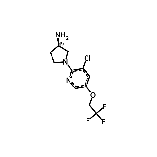 N[C@@H]1CCN(c2ncc(OCC(F)(F)F)cc2Cl)C1